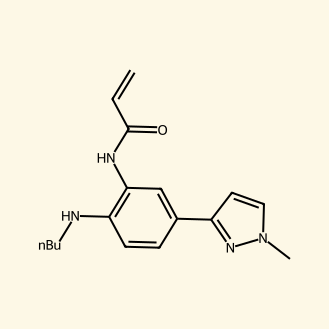 C=CC(=O)Nc1cc(-c2ccn(C)n2)ccc1NCCCC